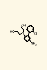 Nc1ccc(N(CCO)CCO)c(-c2ccccc2Cl)c1